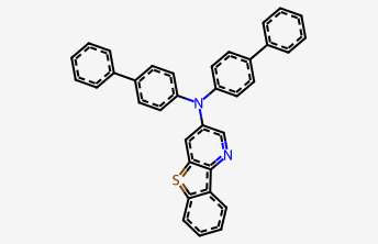 c1ccc(-c2ccc(N(c3ccc(-c4ccccc4)cc3)c3cnc4c(c3)sc3ccccc34)cc2)cc1